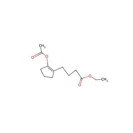 CCOC(=O)CCCC1=C(OC(C)=O)CCC1